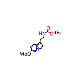 COc1ccc2c(CCNC(=O)OC(C)(C)C)ccn2c1